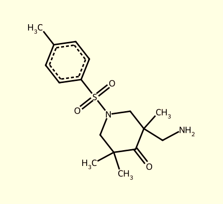 Cc1ccc(S(=O)(=O)N2CC(C)(C)C(=O)C(C)(CN)C2)cc1